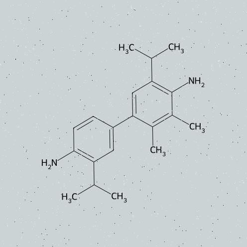 Cc1c(-c2ccc(N)c(C(C)C)c2)cc(C(C)C)c(N)c1C